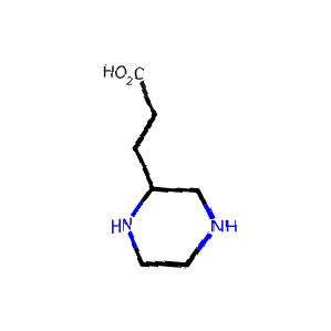 O=C(O)CCC1CNCCN1